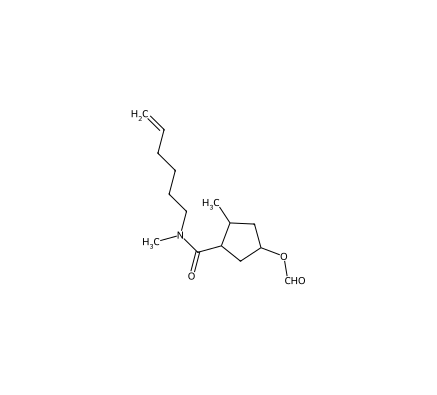 C=CCCCCN(C)C(=O)C1CC(OC=O)CC1C